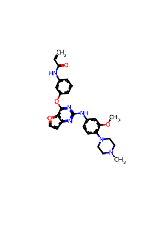 C=CC(=O)Nc1cccc(Oc2nc(Nc3ccc(N4CCN(C)CC4)c(OC)c3)nc3ccoc23)c1